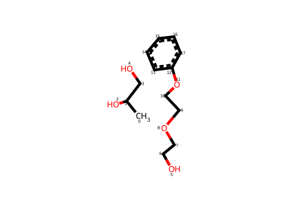 CC(O)CO.OCCOCCOc1ccccc1